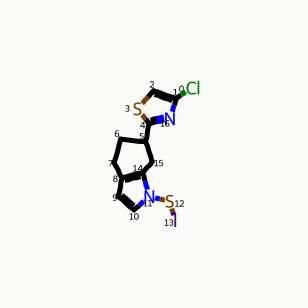 Clc1csc(C2CCc3ccn(SI)c3C2)n1